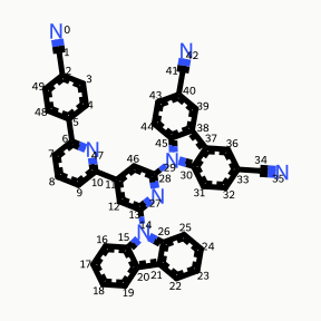 N#Cc1ccc(-c2cccc(-c3cc(-n4c5ccccc5c5ccccc54)nc(-n4c5ccc(C#N)cc5c5cc(C#N)ccc54)c3)n2)cc1